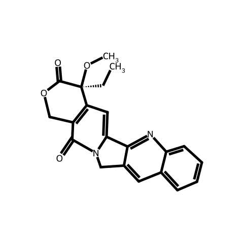 CC[C@@]1(OC)C(=O)OCc2c1cc1n(c2=O)Cc2cc3ccccc3nc2-1